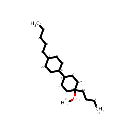 CCCCCC1CCC(C2CCC(CCCC)(OC)CC2)CC1